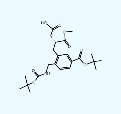 COC(=O)[C@@H](CC(=O)O)Cc1cc(C(=O)OC(C)(C)C)ccc1CNC(=O)OC(C)(C)C